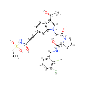 CCS(=O)(=O)NC(=O)C#Cc1ccc2c(C(C)=O)cn(CC(=O)N3CCC[C@H]3C(=O)NCc3cccc(Cl)c3F)c2c1